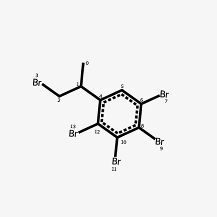 CC(CBr)c1cc(Br)c(Br)c(Br)c1Br